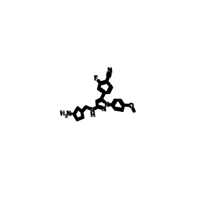 COc1ccc(-n2nc(NCC3CC[C@@H](N)C3)cc2-c2ccc(C#N)c(F)c2)cc1